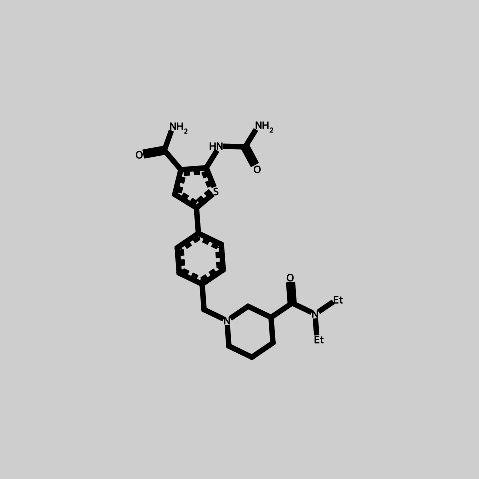 CCN(CC)C(=O)C1CCCN(Cc2ccc(-c3cc(C(N)=O)c(NC(N)=O)s3)cc2)C1